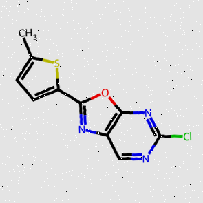 Cc1ccc(-c2nc3cnc(Cl)nc3o2)s1